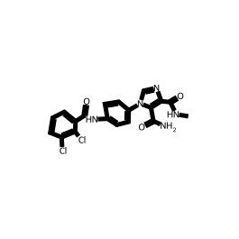 CNC(=O)c1ncn(-c2ccc(NC(=O)c3cccc(Cl)c3Cl)cc2)c1C(N)=O